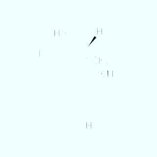 C[C@@H]1C=C[C@H]2C[C@@H]1C2(C)C